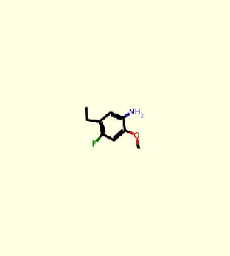 CCc1cc(N)c(OC)cc1F